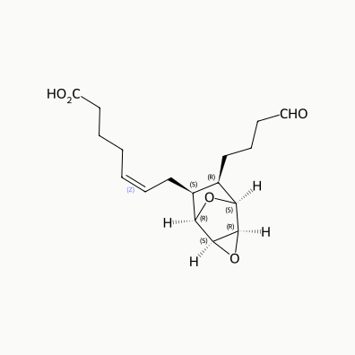 O=CCCC[C@@H]1[C@H](C/C=C\CCCC(=O)O)[C@H]2O[C@@H]1[C@H]1O[C@H]12